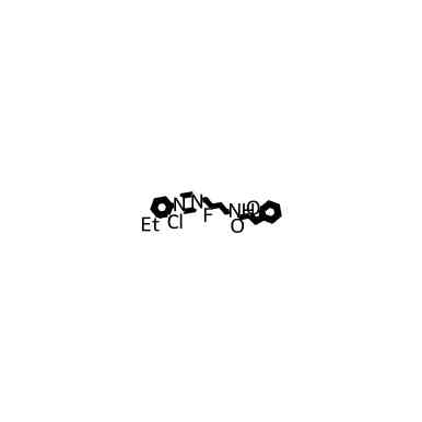 CCc1cccc(N2CCN(CC(F)CCNC(=O)c3cc4ccccc4o3)CC2)c1Cl